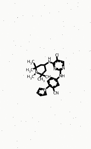 CN1C(C)(C)CC(Nc2nc(Nc3ccc(-n4cccc4)c(C#N)c3)ncc2Cl)CC1(C)C